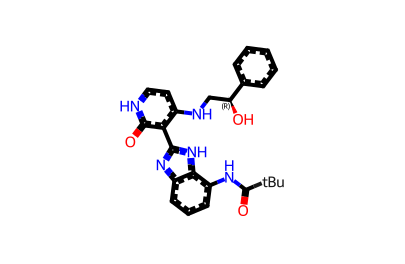 CC(C)(C)C(=O)Nc1cccc2nc(-c3c(NC[C@H](O)c4ccccc4)cc[nH]c3=O)[nH]c12